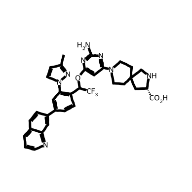 Cc1ccn(-c2cc(-c3ccc4cccnc4c3)ccc2C(Oc2cc(N3CCC4(CC3)CN[C@H](C(=O)O)C4)nc(N)n2)C(F)(F)F)n1